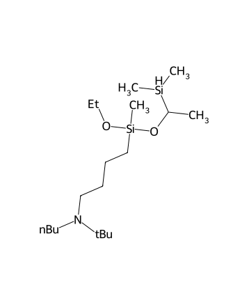 CCCCN(CCCC[Si](C)(OCC)OC(C)[SiH](C)C)C(C)(C)C